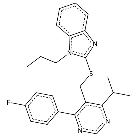 CCCn1c(SCc2c(-c3ccc(F)cc3)ncnc2C(C)C)nc2ccccc21